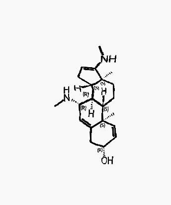 CNC1=CC[C@H]2[C@@H]3[C@@H](NC)C=C4C[C@@H](O)C=C[C@]4(C)[C@H]3CC[C@]12C